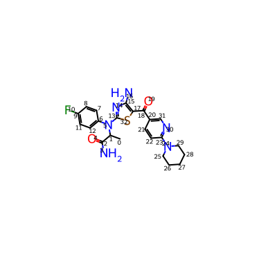 CC(C(N)=O)N(c1ccc(F)cc1)c1nc(N)c(C(=O)c2ccc(N3CCCCC3)nc2)s1